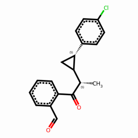 C[C@H](C(=O)c1ccccc1C=O)C1C[C@@H]1c1ccc(Cl)cc1